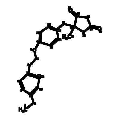 CCc1ccc(CCOc2ccc(CC3(C)SC(=O)CC3=O)cc2)nc1